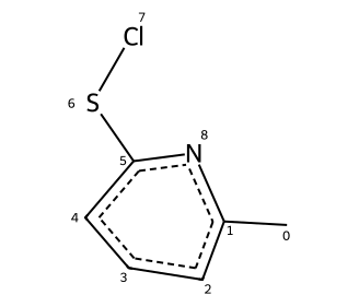 Cc1cccc(SCl)n1